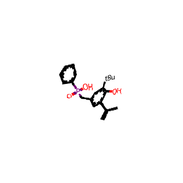 C=C(C)c1cc(CP(=O)(O)c2ccccc2)cc(C(C)(C)C)c1O